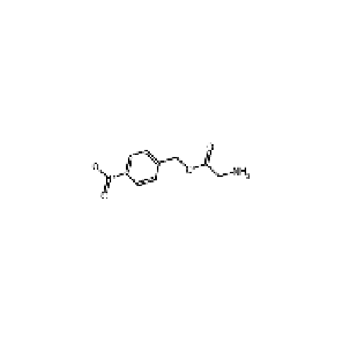 NCC(=O)OCc1ccc([N+](=O)[O-])cc1